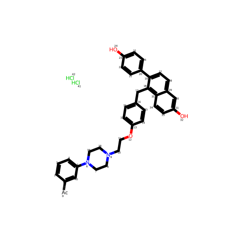 CC(=O)c1cccc(N2CCN(CCOc3ccc(Cc4c(-c5ccc(O)cc5)ccc5cc(O)ccc45)cc3)CC2)c1.Cl.Cl